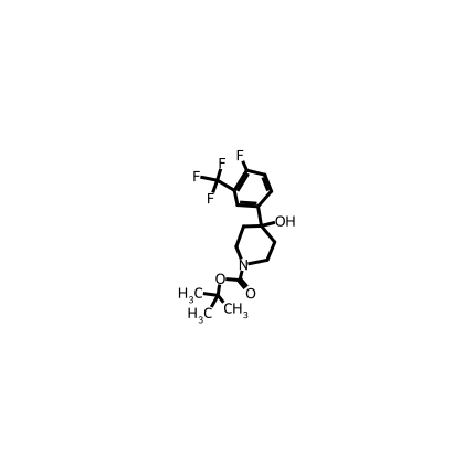 CC(C)(C)OC(=O)N1CCC(O)(c2ccc(F)c(C(F)(F)F)c2)CC1